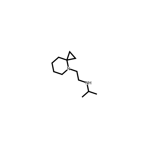 CC(C)NCCN1CCCCC12CC2